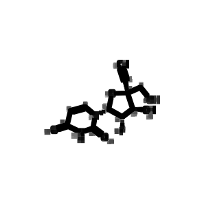 C#C[C@]1(CO)O[C@@H](n2ccc(=O)[nH]c2=O)[C@@H](F)[C@@H]1O